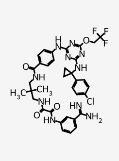 CC(C)(CNC(=O)C(=O)Nc1cccc(C(=N)N)c1)CNC(=O)c1ccc(Nc2nc(NC3(c4ccc(Cl)cc4)CC3)nc(OCC(F)(F)F)n2)cc1